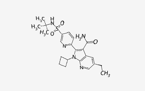 CCc1cnc2c(c1)c(C(N)=O)c(-c1ccc(S(=O)(=O)NC(C)(C)C)cn1)n2C1CCC1